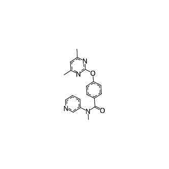 Cc1cc(C)nc(Oc2ccc(C(=O)N(C)c3cccnc3)cc2)n1